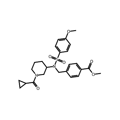 COC(=O)c1ccc(CN(C2CCCN(C(=O)C3CC3)C2)S(=O)(=O)c2ccc(OC)cc2)cc1